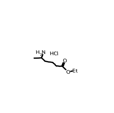 CCOC(=O)CCCC(C)N.Cl